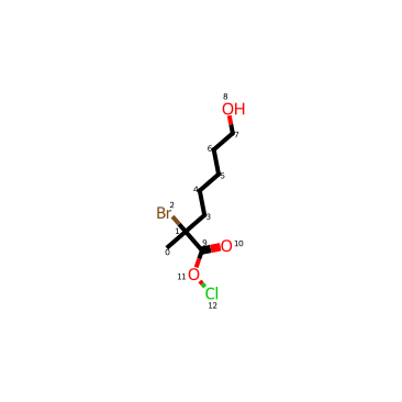 CC(Br)(CCCCCO)C(=O)OCl